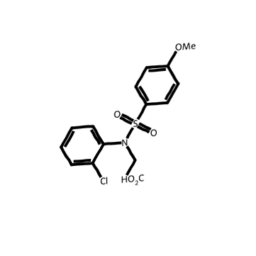 COc1ccc(S(=O)(=O)N(CC(=O)O)c2ccccc2Cl)cc1